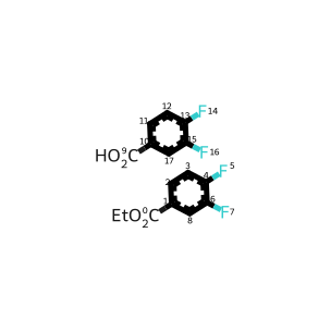 CCOC(=O)c1ccc(F)c(F)c1.O=C(O)c1ccc(F)c(F)c1